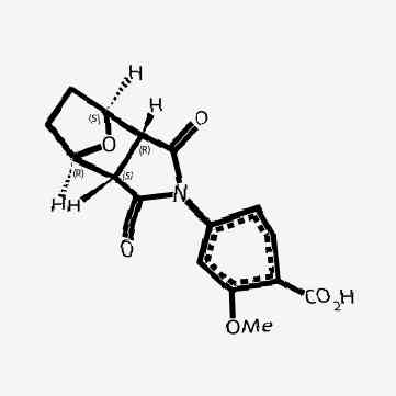 COc1cc(N2C(=O)[C@@H]3[C@H](C2=O)[C@H]2CC[C@@H]3O2)ccc1C(=O)O